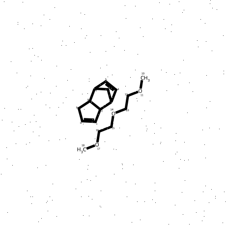 C1=CC2C3C=CC(C3)C2C1.COCCOCCOC